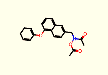 CC(=O)ON(Cc1ccc2c(OC3=CCCC=C3)cccc2c1)C(C)=O